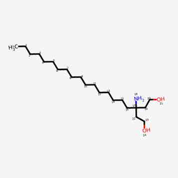 CCCCCCCCCCCCCCCCCC(N)(CCO)CCO